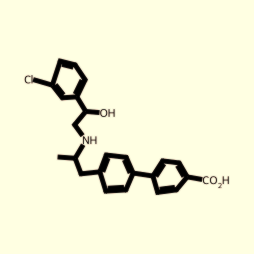 CC(Cc1ccc(-c2ccc(C(=O)O)cc2)cc1)NCC(O)c1cccc(Cl)c1